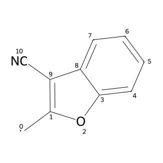 [CH2]c1oc2ccccc2c1C#N